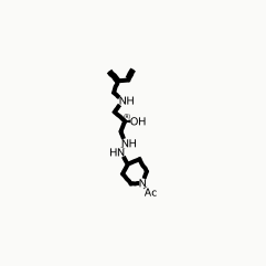 C=CC(=C)CNC[C@@H](O)CNNC1CCN(C(C)=O)CC1